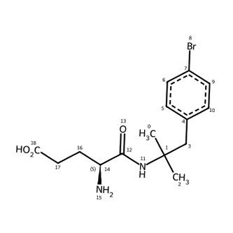 CC(C)(Cc1ccc(Br)cc1)NC(=O)[C@@H](N)CCC(=O)O